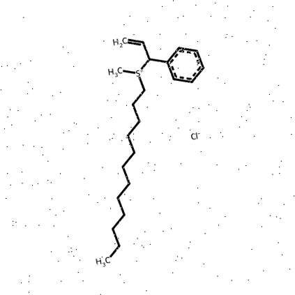 C=CC(c1ccccc1)[S+](C)CCCCCCCCCCCC.[Cl-]